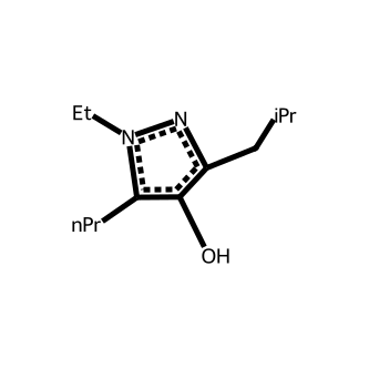 CCCc1c(O)c(CC(C)C)nn1CC